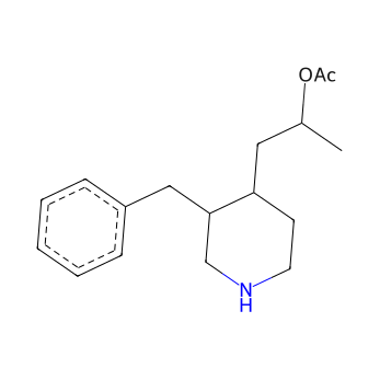 CC(=O)OC(C)CC1CCNCC1Cc1ccccc1